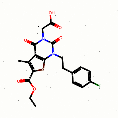 CCOC(=O)c1sc2c(c1C)c(=O)n(CC(=O)O)c(=O)n2CCc1ccc(F)cc1